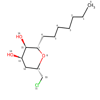 CCCCCCC[C@@H]1O[C@H](CCl)C[C@@H](O)[C@H]1O